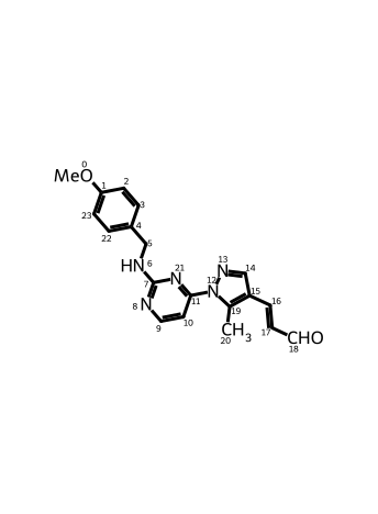 COc1ccc(CNc2nccc(-n3ncc(C=CC=O)c3C)n2)cc1